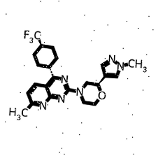 Cc1ccc2c(n1)nc(N1CCO[C@H](c3cnn(C)c3)C1)nc2[C@H]1CC[C@H](C(F)(F)F)CC1